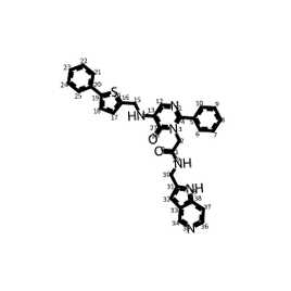 O=C(Cn1c(-c2ccccc2)ncc(NCc2ccc(-c3ccccc3)s2)c1=O)NCc1cc2cnccc2[nH]1